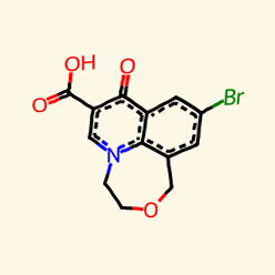 O=C(O)c1cn2c3c(cc(Br)cc3c1=O)COCC2